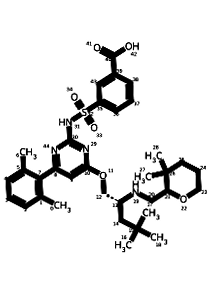 Cc1cccc(C)c1-c1cc(OC[C@@H](CC(C)(C)C)NCC2OCCCC2(C)C)nc(NS(=O)(=O)c2cccc(C(=O)O)c2)n1